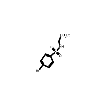 CCOC(=O)CNS(=O)(=O)c1ccc(Br)cc1